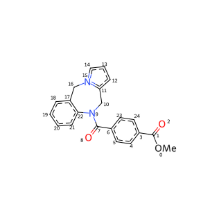 COC(=O)c1ccc(C(=O)N2Cc3cccn3Cc3ccccc32)cc1